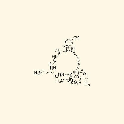 C[C@H](O)[C@@H]1NC(=O)[C@H](CCCCN)NC(=O)CNC(=O)[C@H](Cc2ccc(O)cc2)NC(=O)CCSSC[C@@H](C(=O)N[C@H](C(=O)O)[C@@H](C)O)NC1=O